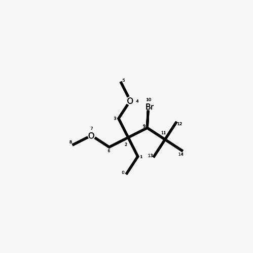 CCC(COC)(COC)C(Br)C(C)(C)C